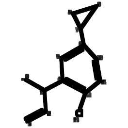 [CH2]C(C=C)c1cc(C2CC2)ccc1Cl